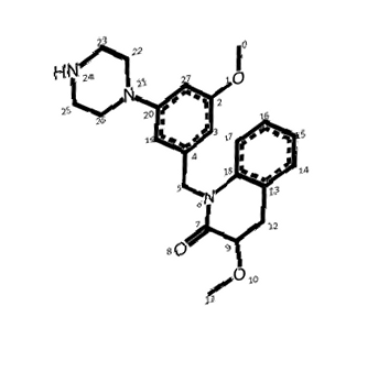 COc1cc(CN2C(=O)C(OC)Cc3ccccc32)cc(N2CCNCC2)c1